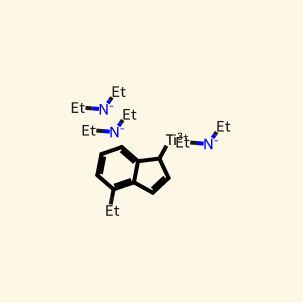 CC[N-]CC.CC[N-]CC.CC[N-]CC.CCc1cccc2c1C=C[CH]2[Ti+3]